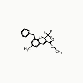 CCOC(=O)C1=Cc2cc(C)cc(Cc3ccccc3)c2OC1C(F)(F)F